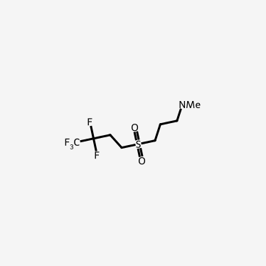 CNCCCS(=O)(=O)CCC(F)(F)C(F)(F)F